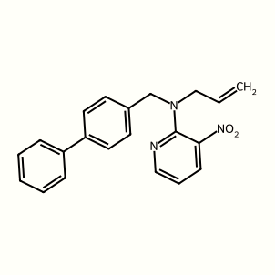 C=CCN(Cc1ccc(-c2ccccc2)cc1)c1ncccc1[N+](=O)[O-]